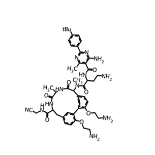 Cc1nc(-c2ccc(C(C)(C)C)cc2)nc(N)c1C(=O)NC(CCN)C(=O)N(C)C1C(=O)NC(C)C(=O)NC(C(=O)NCC#N)Cc2ccc(OCCN)c(c2)-c2cc1ccc2OCCN